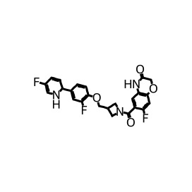 O=C1COc2cc(F)c(C(=O)N3CC(COc4ccc(C5C=CC(F)=CN5)cc4F)C3)cc2N1